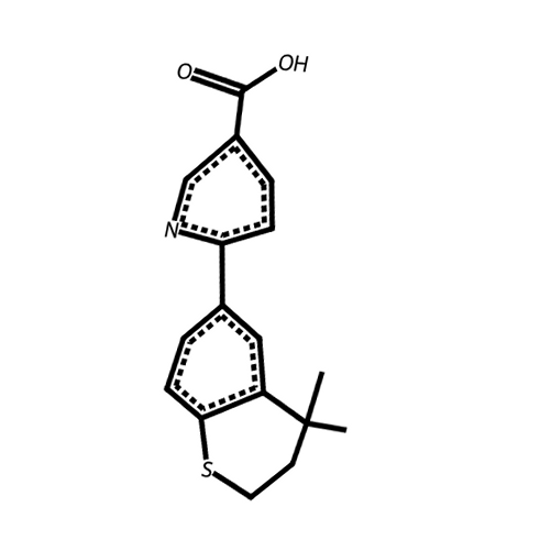 CC1(C)CCSc2ccc(-c3ccc(C(=O)O)cn3)cc21